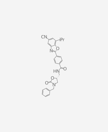 [C-]#[N+]c1cc(C(C)C)c2oc(-c3ccc(C(=O)NC[C@@H]4CN(Cc5ccccc5)C(=O)O4)cc3)nc2c1